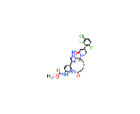 COC(=O)Nc1ccc2c(c1)NC(=O)CCCC[C@H](N1CCC(c3c(F)ccc(Cl)c3F)=CC1=O)c1nc-2c[nH]1